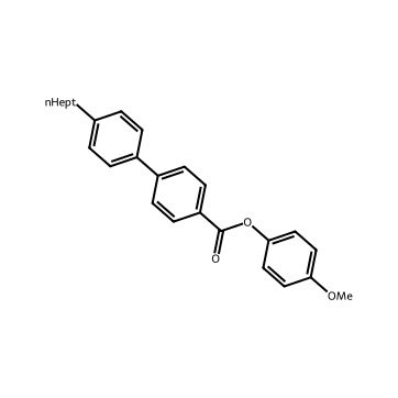 CCCCCCCc1ccc(-c2ccc(C(=O)Oc3ccc(OC)cc3)cc2)cc1